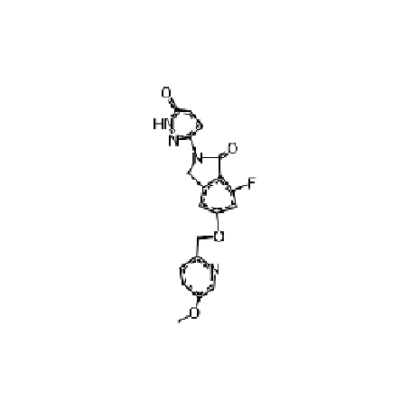 COc1ccc(COc2cc(F)c3c(c2)CN(c2ccc(=O)[nH]n2)C3=O)nc1